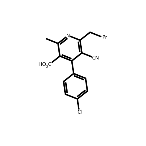 Cc1nc(CC(C)C)c(C#N)c(-c2ccc(Cl)cc2)c1C(=O)O